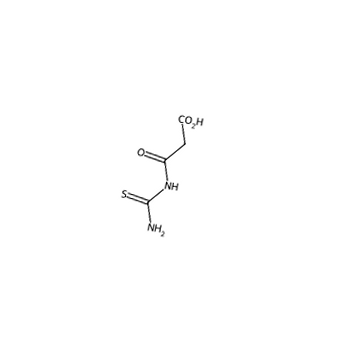 NC(=S)NC(=O)CC(=O)O